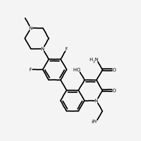 CC(C)Cn1c(=O)c(C(N)=O)c(O)c2c(-c3cc(F)c(N4CCN(C)CC4)c(F)c3)cccc21